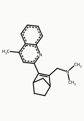 Cc1cc(C2=C(CN(C)C)C3CCC2C3)nc2ccccc12